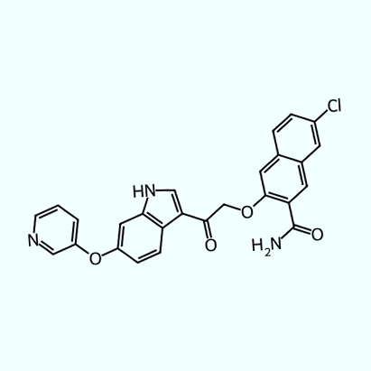 NC(=O)c1cc2cc(Cl)ccc2cc1OCC(=O)c1c[nH]c2cc(Oc3cccnc3)ccc12